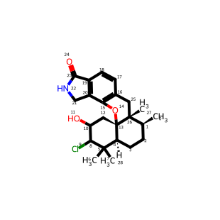 C[C@H]1CC[C@H]2C(C)(C)C(Cl)C(O)C[C@]23Oc2c(ccc4c2CNC4=O)C[C@]13C